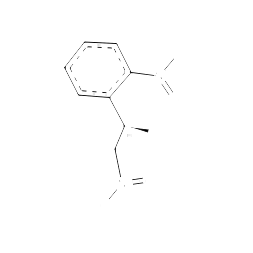 O=[N+]([O-])C[C@H](O)c1ccccc1[N+](=O)[O-]